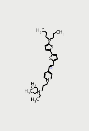 CCCN(CCC)c1ccc(-c2ccc(/C=C/c3cc[n+](CCC[N+](CC)(CC)CC)cc3)s2)s1